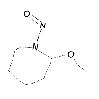 COC1CCCCN1N=O